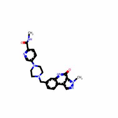 CNC(=O)c1ccc(N2CCN(Cc3ccc4c(c3)[nH]c(=O)c3c4cnn3C)CC2)cn1